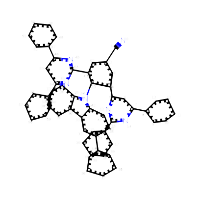 N#Cc1cc(-c2cc(-c3ccccc3)nc(-c3ccccc3)n2)c(-n2c3ccccc3c3cc(-c4ccccc4)ccc32)c(-c2nc(-c3ccccc3)cc(-c3ccccc3)n2)c1